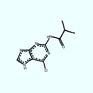 CC(C)C(=O)Nc1nc(Cl)c2[nH]cnc2n1